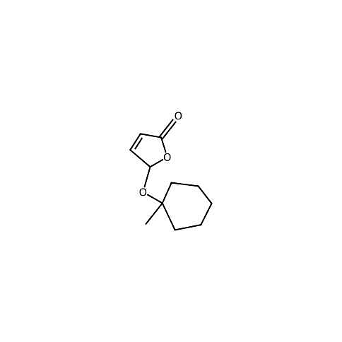 CC1(OC2C=CC(=O)O2)CCCCC1